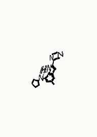 Cc1cc(NC2CCCC2)c2[nH]c(-c3cnccn3)cc2c1